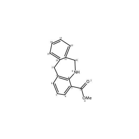 COC(=O)c1cccc2c1NCc1ccccc1C2